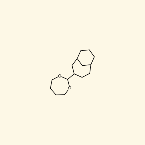 C1CCOC(C2CCC3CCCC(C3)C2)OC1